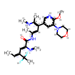 C=N/C(=C\C(=C/C)C(C)(F)F)C(=O)N/C(C)=C/C(=C(/C)N=C)c1cnc(OC(C)C)c(N2CCOCC2)c1